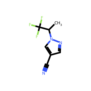 CC(n1cc(C#N)cn1)C(F)(F)F